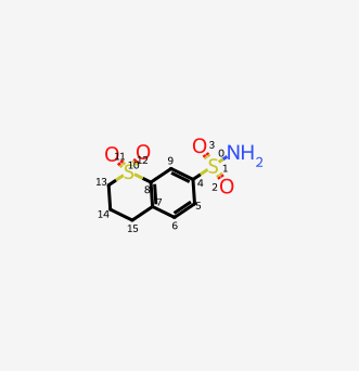 NS(=O)(=O)c1ccc2c(c1)S(=O)(=O)CCC2